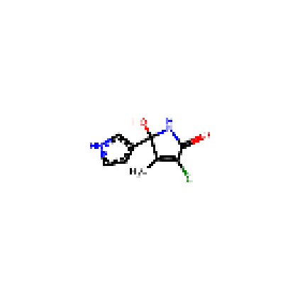 CC1=C(Cl)C(=O)NC1(O)c1cc[nH]c1